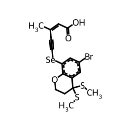 CSC1(SC)CCOc2c([Se]C#CC(C)=CC(=O)O)cc(Br)cc21